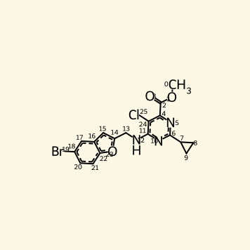 COC(=O)c1nc(C2CC2)nc(NCc2cc3cc(Br)ccc3o2)c1Cl